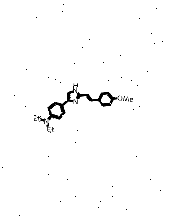 CCN(CC)c1ccc(-c2c[nH]c(C=Cc3ccc(OC)cc3)n2)cc1